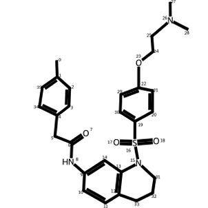 Cc1ccc(CC(=O)Nc2ccc3c(c2)N(S(=O)(=O)c2ccc(OCCN(C)C)cc2)CCC3)cc1